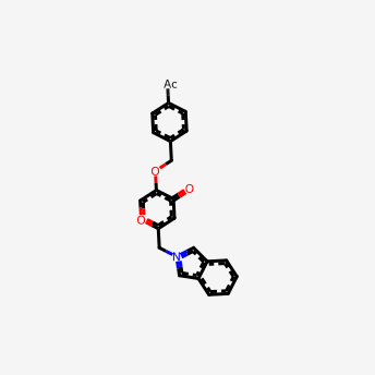 CC(=O)c1ccc(COc2coc(Cn3cc4ccccc4c3)cc2=O)cc1